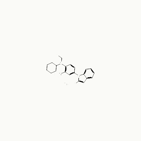 CCOC(=O)c1cc2ccccc2n1-c1ccc(N(CC(C)C)C2CCCCC2)c(N)c1